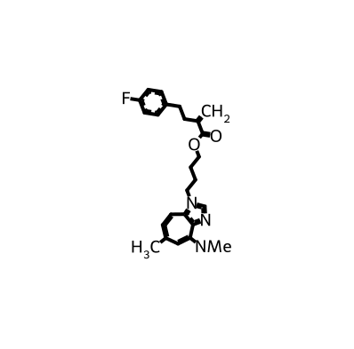 C=C(CCc1ccc(F)cc1)C(=O)OCCCCn1cnc2c1C=C=C(C)C=C2NC